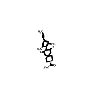 CC#Cc1cc(C)c(C2C(=O)CC3(CCN(C(=O)SC)CC3)CC2=O)c(C)c1